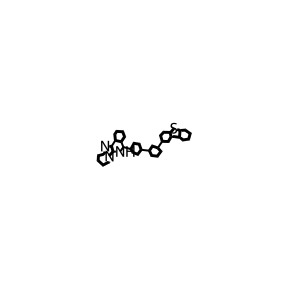 c1cc(-c2ccc(C3Nc4c(nc5ccccn45)-c4ccccc43)cc2)cc(-c2ccc3sc4ccccc4c3c2)c1